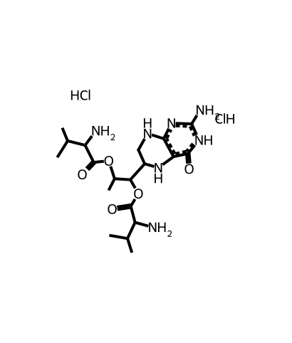 CC(C)C(N)C(=O)OC(C)C(OC(=O)C(N)C(C)C)C1CNc2nc(N)[nH]c(=O)c2N1.Cl.Cl